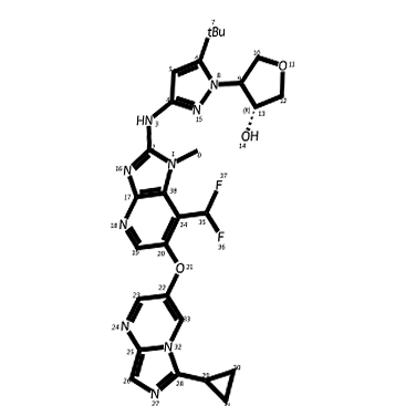 Cn1c(Nc2cc(C(C)(C)C)n(C3COC[C@@H]3O)n2)nc2ncc(Oc3cnc4cnc(C5CC5)n4c3)c(C(F)F)c21